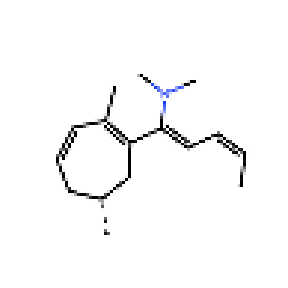 C/C=C\C=C(\C1=C(C)C=CC[C@@H](C)C1)N(C)C